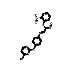 O=NC(C=Nc1ccc(Oc2nccc(Br)n2)cc1)Oc1ccccc1[N+](=O)[O-]